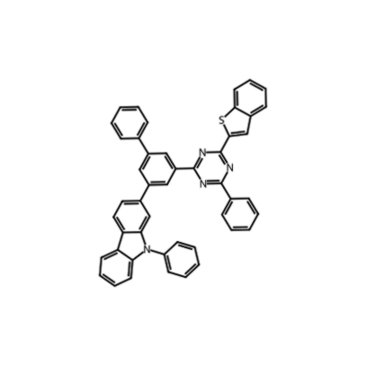 c1ccc(-c2cc(-c3ccc4c5ccccc5n(-c5ccccc5)c4c3)cc(-c3nc(-c4ccccc4)nc(-c4cc5ccccc5s4)n3)c2)cc1